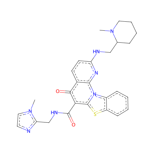 CN1CCCCC1CNc1ccc2c(=O)c(C(=O)NCc3nccn3C)c3sc4ccccc4n3c2n1